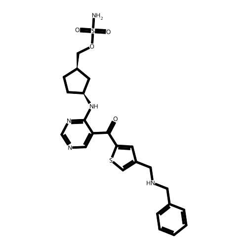 NS(=O)(=O)OC[C@@H]1CC[C@H](Nc2ncncc2C(=O)c2cc(CNCc3ccccc3)cs2)C1